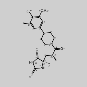 COc1cc(C2CCN(C(=O)[C@@H](C)C[C@@]3(C)NC(=O)NC3=O)CC2)cc(C)c1Cl